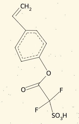 C=Cc1ccc(OC(=O)C(F)(F)S(=O)(=O)O)cc1